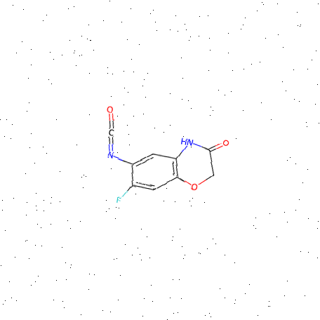 O=C=Nc1cc2c(cc1F)OCC(=O)N2